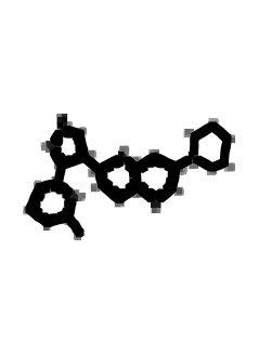 Cc1cccc(-c2n[nH]cc2-c2ccc3ncc(N4CCCCC4)cc3n2)n1